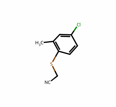 Cc1cc(Cl)ccc1SCC#N